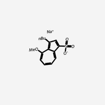 CCCCc1cc(S(=O)(=O)[O-])c2ccccc(OC)c1-2.[Na+]